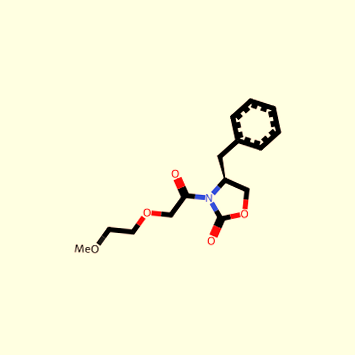 COCCOCC(=O)N1C(=O)OC[C@@H]1Cc1ccccc1